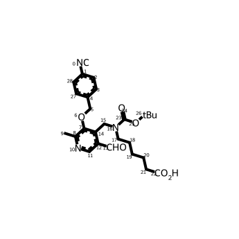 [C-]#[N+]c1ccc(COc2c(C)ncc(C=O)c2CN(CCCCCC(=O)O)C(=O)OC(C)(C)C)cc1